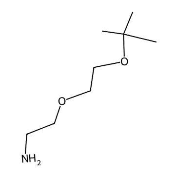 CC(C)(C)OCCOCCN